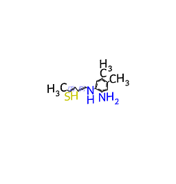 C/C(S)=C/C=C/Nc1cc(C)c(C)cc1N